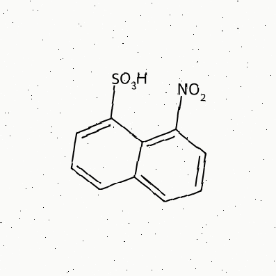 O=[N+]([O-])c1cccc2cccc(S(=O)(=O)O)c12